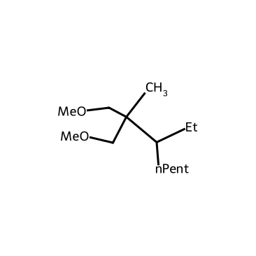 CCCCCC(CC)C(C)(COC)COC